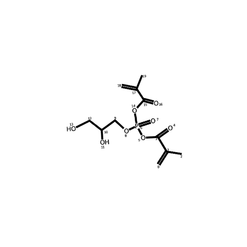 C=C(C)C(=O)OP(=O)(OCC(O)CO)OC(=O)C(=C)C